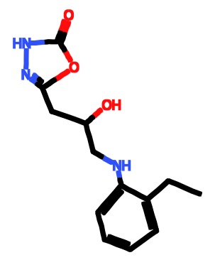 CCc1ccccc1NCC(O)Cc1n[nH]c(=O)o1